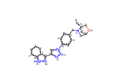 c1ccc2c(-c3cn(-c4ccc(CN5CC6C[C@H]5CO6)cc4)nn3)n[nH]c2c1